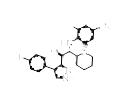 N#Cc1cc(F)c(N[C@H](C(=O)c2n[nH]cc2-c2ccc(F)cc2)C2CCCCN2)c(F)c1